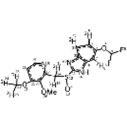 [2H]c1c(OC(F)F)c([2H])c2[nH]c([S+]([O-])C([2H])([2H])c3nccc(OC([2H])([2H])[2H])c3OC)nc2c1[2H]